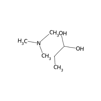 CCC(O)O.CN(C)C